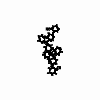 N#Cc1ccccc1-c1ccc2c(c1)c1ccccc1n2-c1ccc(C#N)c(-c2cnccc2-n2c3ccccc3c3cc(-c4ccccc4C#N)ccc32)c1